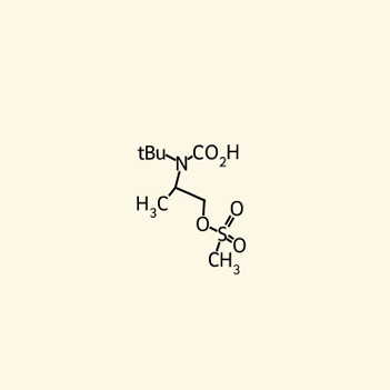 CC(COS(C)(=O)=O)N(C(=O)O)C(C)(C)C